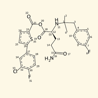 CC(C)(Cc1ccc(F)cc1)N[C@@H](CCC(N)=O)C(=O)OC(=O)c1ccc(-c2ccc(F)c(Cl)c2)s1